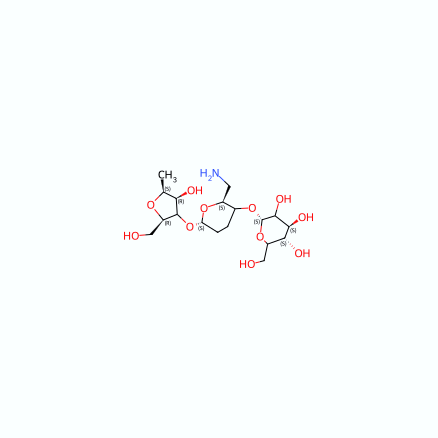 C[C@@H]1O[C@H](CO)C(O[C@H]2CCC(O[C@H]3OC(CO)[C@@H](O)[C@H](O)C3O)[C@H](CN)O2)[C@@H]1O